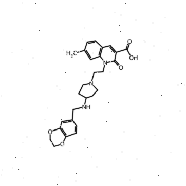 Cc1ccc2cc(C(=O)O)c(=O)n(CCN3CCC(NCc4ccc5c(c4)OCCO5)CC3)c2c1